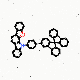 c1ccc2c(c1)-c1ccccc1C21c2ccccc2-c2cc(-c3ccc(-n4c5ccccc5c5ccc6c7ccccc7oc6c54)cc3)ccc21